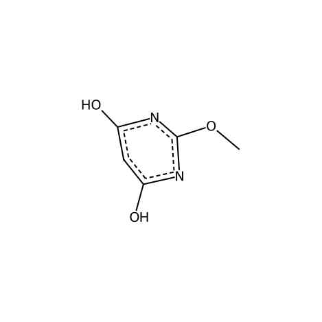 COc1nc(O)cc(O)n1